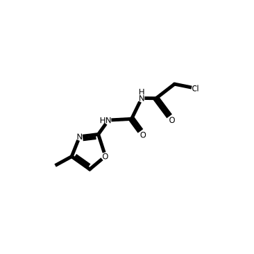 Cc1coc(NC(=O)NC(=O)CCl)n1